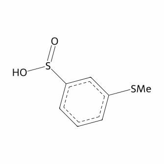 CSc1cccc(S(=O)O)c1